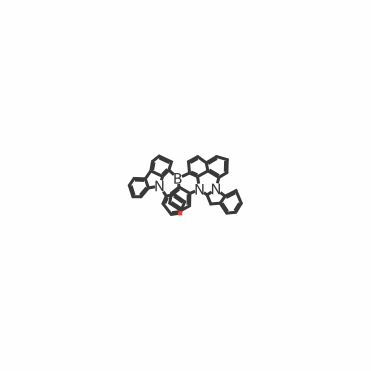 c1ccc(-n2c3ccccc3c3cccc(B4c5ccccc5N5c6c4ccc4cccc(c64)N4c6ccccc6CC45)c32)cc1